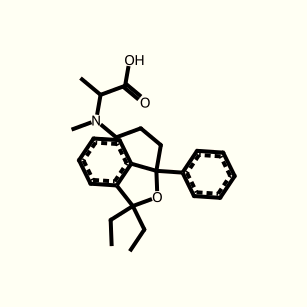 CCC1(CC)OC(CCCN(C)C(C)C(=O)O)(c2ccccc2)c2ccccc21